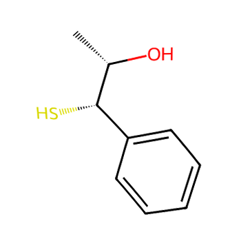 C[C@H](O)[C@@H](S)c1ccccc1